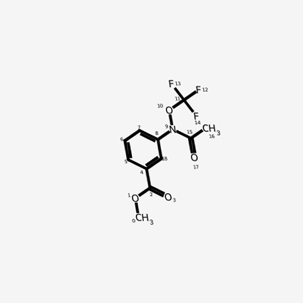 COC(=O)c1cccc(N(OC(F)(F)F)C(C)=O)c1